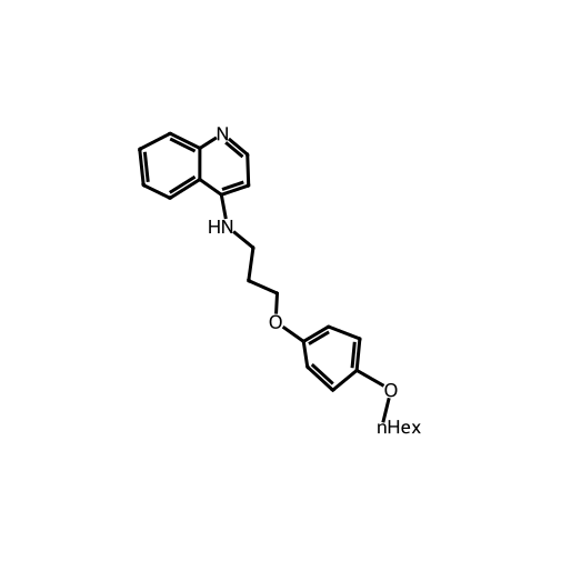 CCCCCCOc1ccc(OCCCNc2ccnc3ccccc23)cc1